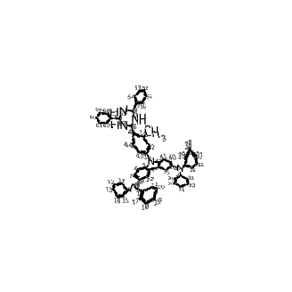 Cc1cc(-n2c3ccc(N(c4ccccc4)c4ccccc4)cc3c3cc(N(c4ccccc4)c4ccccc4)ccc32)ccc1C1NC(c2ccccc2)NC(c2ccccc2)N1